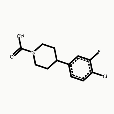 O=C(O)N1CCC(c2ccc(Cl)c(F)c2)CC1